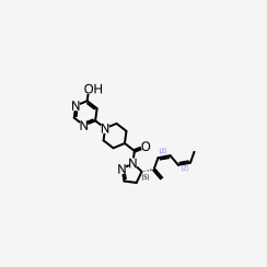 C=C(/C=C\C=C/C)[C@@H]1CC=NN1C(=O)C1CCN(c2cc(O)ncn2)CC1